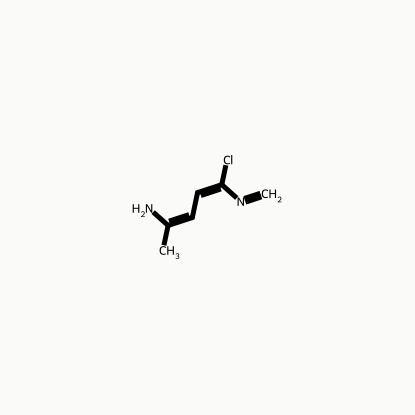 C=N/C(Cl)=C\C=C(\C)N